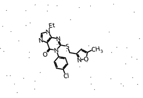 CCn1cnc2c(=O)n(-c3ccc(Cl)cc3)c(SCc3cc(C)on3)nc21